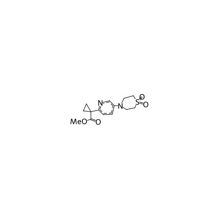 COC(=O)C1(c2ccc(N3CCS(=O)(=O)CC3)cn2)CC1